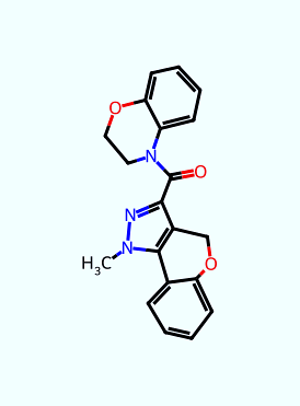 Cn1nc(C(=O)N2CCOc3ccccc32)c2c1-c1ccccc1OC2